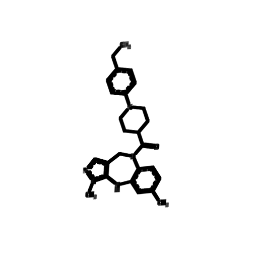 CCc1ccc(N2CCC(C(=O)N3Cc4cnn(C)c4Nc4cc(C)ccc43)CC2)cc1